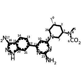 C[C@@H]1C[C@@H](N(C)C(=O)O)CN(c2cc(-c3ccc4c(N)n[nH]c4c3)nc(N)n2)C1